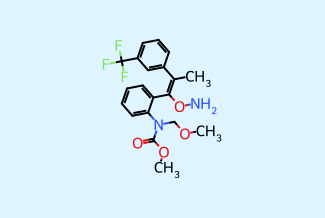 COCN(C(=O)OC)c1ccccc1/C(ON)=C(/C)c1cccc(C(F)(F)F)c1